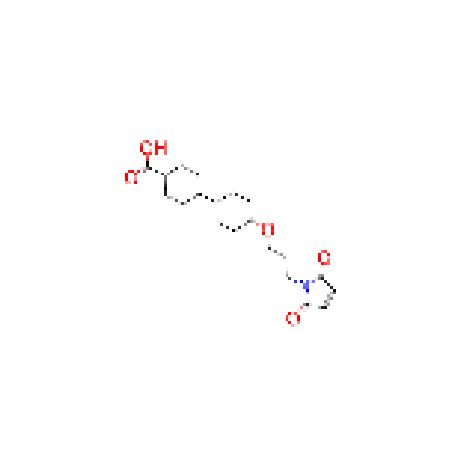 O=C(O)C1CCC(C2CCC(OCCCN3C(=O)C=CC3=O)CC2)CC1